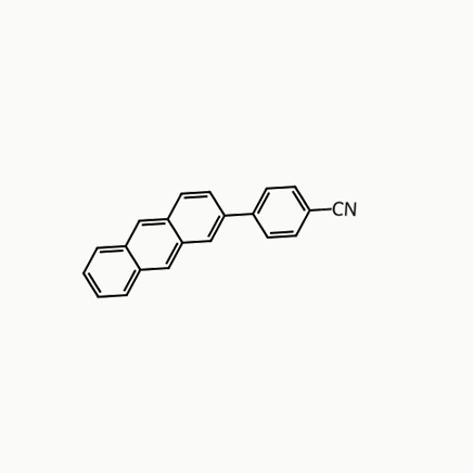 N#Cc1ccc(-c2ccc3cc4ccccc4cc3c2)cc1